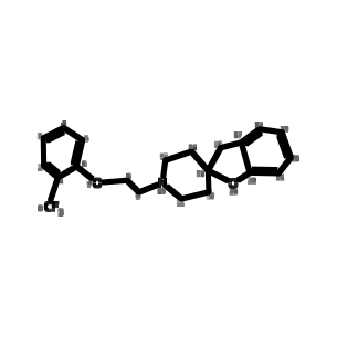 FC(F)(F)c1ccccc1OCCN1CCC2(CC1)Cc1ccccc1O2